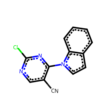 N#Cc1cnc(Cl)nc1-n1ccc2ccccc21